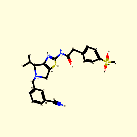 CC(C)C1c2nc(NC(=O)Cc3ccc(S(C)(=O)=O)cc3)sc2CN1Cc1cccc(C#N)c1